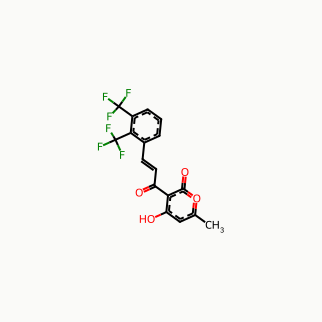 Cc1cc(O)c(C(=O)C=Cc2cccc(C(F)(F)F)c2C(F)(F)F)c(=O)o1